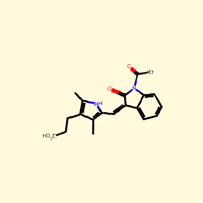 CCC(=O)N1C(=O)/C(=C\c2[nH]c(C)c(CCC(=O)O)c2C)c2ccccc21